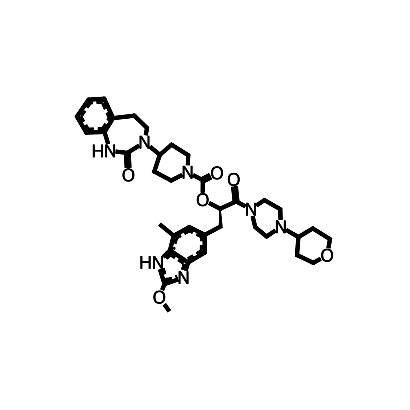 COc1nc2cc(C[C@@H](OC(=O)N3CCC(N4CCc5ccccc5NC4=O)CC3)C(=O)N3CCN(C4CCOCC4)CC3)cc(C)c2[nH]1